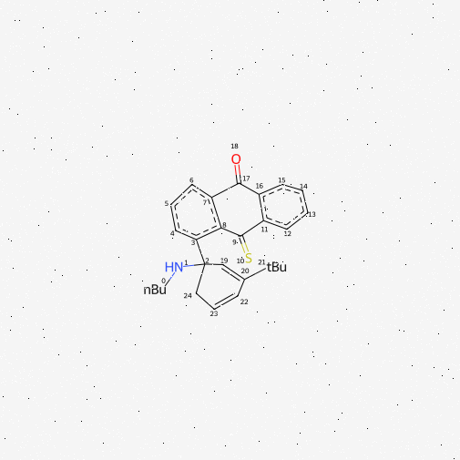 CCCCNC1(c2cccc3c2C(=S)c2ccccc2C3=O)C=C(C(C)(C)C)C=CC1